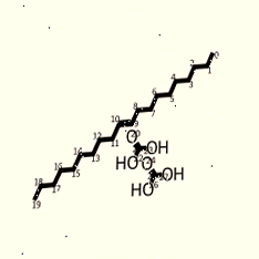 CCCCCCCCCC=CCCCCCCCCC.O=C(O)O.O=C(O)O